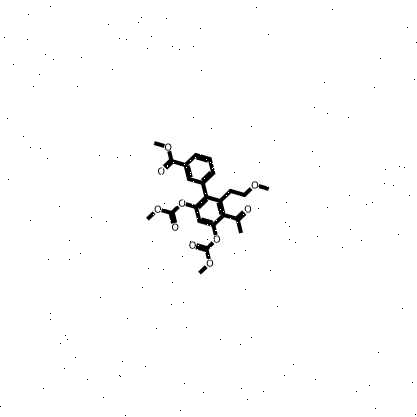 COCCc1c(C(C)=O)c(OC(=O)OC)cc(OC(=O)OC)c1-c1cccc(C(=O)OC)c1